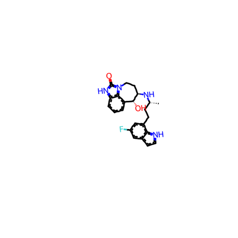 C[C@H](CCc1cc(F)cc2cc[nH]c12)N[C@@H]1CCn2c(=O)[nH]c3cccc(c32)[C@H]1O